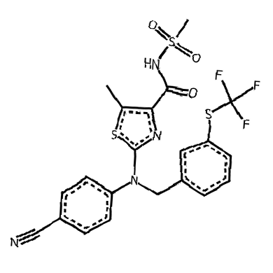 Cc1sc(N(Cc2cccc(SC(F)(F)F)c2)c2ccc(C#N)cc2)nc1C(=O)NS(C)(=O)=O